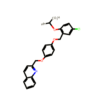 CCCC(Oc1ccc(Cl)cc1COc1ccc(OCc2ccc3ccccc3n2)cc1)C(=O)O